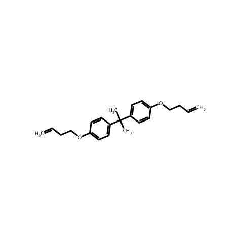 C=CCCOc1ccc(C(C)(C)c2ccc(OCCC=C)cc2)cc1